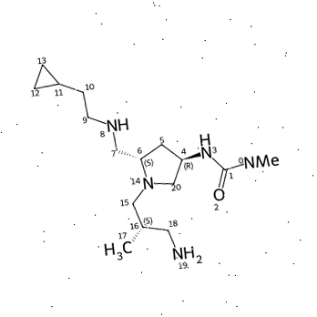 CNC(=O)N[C@@H]1C[C@@H](CNCCC2CC2)N(C[C@@H](C)CN)C1